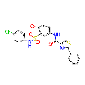 COc1ccc(NC(=O)c2csc(-c3ccccc3)n2)cc1S(=O)(=O)Nc1ccc(Cl)cc1